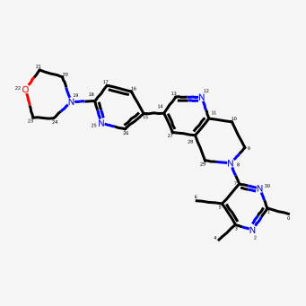 Cc1nc(C)c(C)c(N2CCc3ncc(-c4ccc(N5CCOCC5)nc4)cc3C2)n1